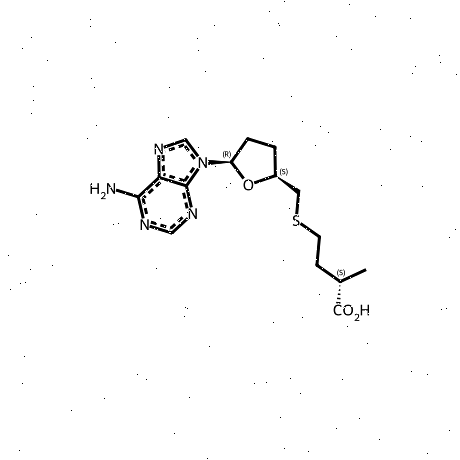 C[C@@H](CCSC[C@@H]1CC[C@H](n2cnc3c(N)ncnc32)O1)C(=O)O